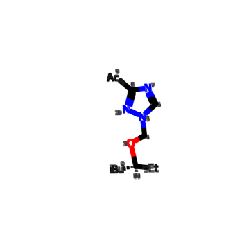 CCC(C)[C@@H](CC)OCn1cnc(C(C)=O)n1